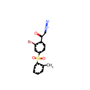 Cc1ccccc1S(=O)(=O)c1ccc(C(=O)C=[N+]=[N-])c(Br)c1